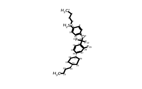 CCCC[SiH2]c1ccc(OC(F)(F)c2ccc([C@H]3CC[C@H](CCCC)CC3)cc2F)cc1